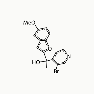 COc1ccc2oc(C(C)(O)c3ccncc3Br)cc2c1